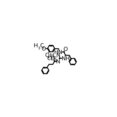 COc1ccc(CNC(=O)C(Cc2ccccc2)NC(N)=NC(=O)CCc2ccccc2)cc1OC